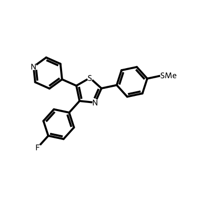 CSc1ccc(-c2nc(-c3ccc(F)cc3)c(-c3ccncc3)s2)cc1